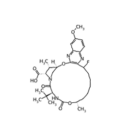 COc1ccc2nc3c(nc2c1)O[C@H]1CN(C(=O)[C@H](C(C)(C)C)NC(=O)O[C@@H](C)CCCCCC3F)[C@H](C(=O)O)[C@@H]1C